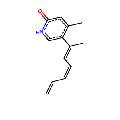 C=C/C=C\C=C(/C)c1c[nH]c(=O)cc1C